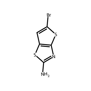 Nc1nc2sc(Br)cc2s1